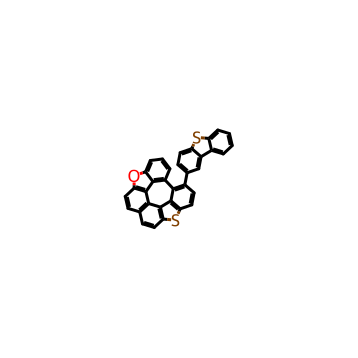 c1cc2c3c(c1)oc1ccc4ccc5sc6ccc(-c7ccc8sc9ccccc9c8c7)c-2c6c5c4c13